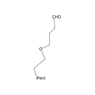 CCCC(C)CCOCCCC=O